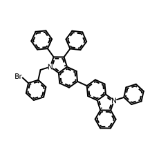 Brc1ccccc1Cn1c(-c2ccccc2)c(-c2ccccc2)c2cc(-c3ccc4c(c3)c3ccccc3n4-c3ccccc3)ccc21